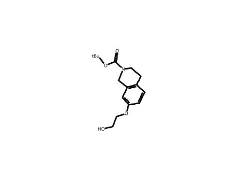 CC(C)(C)OC(=O)N1CCc2ccc(OCCO)cc2C1